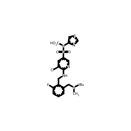 CN(Cc1cccc(F)c1CNc1ncc(S(=O)(=O)N(C(=O)O)c2cscn2)cc1Cl)C(C)(C)C